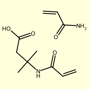 C=CC(=O)NC(C)(C)CC(=O)O.C=CC(N)=O